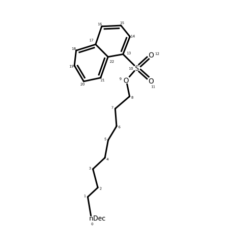 CCCCCCCCCCCCCCCCCCOS(=O)(=O)c1cccc2ccccc12